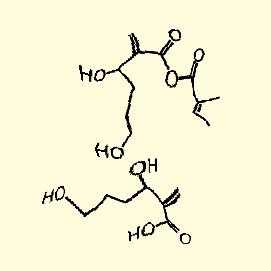 C=C(C(=O)O)C(O)CCCO.C=C(C(=O)OC(=O)C(C)=CC)C(O)CCCO